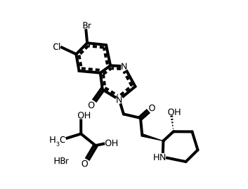 Br.CC(O)C(=O)O.O=C(C[C@@H]1NCCC[C@H]1O)Cn1cnc2cc(Br)c(Cl)cc2c1=O